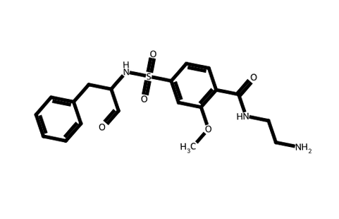 COc1cc(S(=O)(=O)NC(C=O)Cc2ccccc2)ccc1C(=O)NCCN